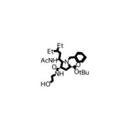 CCC(CC)C[C@H](NC(C)=O)[C@H]1[C@H](C(=O)NCCO)C[C@H](C(=O)OC(C)(C)C)N1Cc1ccccc1